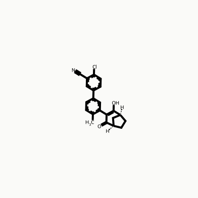 Cc1ccc(-c2ccc(Cl)c(C#N)c2)cc1C1=C(O)[C@H]2CC[C@H](C2)C1=O